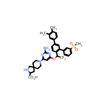 Cc1ccc(-c2ccc(C(Oc3cc(N4CCC5(CC4)CNC(C(=O)O)C5)nc(N)n3)C(F)(F)F)c(-c3cccc(S(C)(=O)=O)c3)c2)cc1C